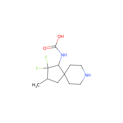 CC1CC2(CCNCC2)C(NC(=O)O)C1(F)F